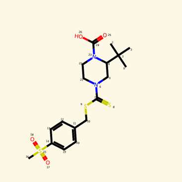 CC(C)(C)C1CN(C(=S)SCc2ccc(S(C)(=O)=O)cc2)CCN1C(=O)O